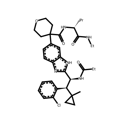 CCNC(=O)[C@H](NC(=O)C1(c2ccc3nc([C@@H](NC(=O)CC)[C@H](c4ccccc4Cl)C4(C)CC4)[nH]c3c2)CCOCC1)C(C)C